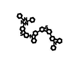 c1ccc(-c2nc(-c3ccccc3)nc(-c3ccc4sc5ccc(-n6c7ccccc7c7cc(-c8ccc9sc%10ccc(-c%11ccc%12c(c%11)c%11ccccc%11n%12-c%11ccccc%11)cc%10c9c8)ccc76)cc5c4c3)n2)cc1